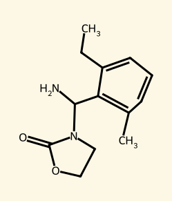 CCc1cccc(C)c1C(N)N1CCOC1=O